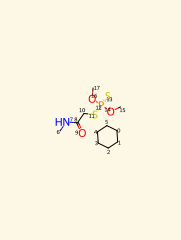 C1CCCCC1.CNC(=O)CSP(=S)(OC)OC